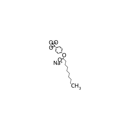 CCCCCCCCCC(=O)Oc1ccc(S(=O)(=O)[O-])cc1.[Na+]